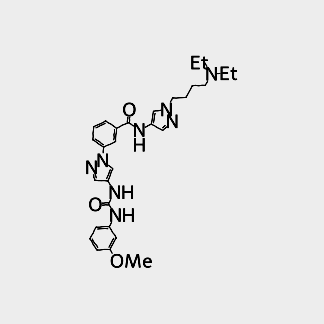 CCN(CC)CCCCn1cc(NC(=O)c2cccc(-n3cc(NC(=O)Nc4cccc(OC)c4)cn3)c2)cn1